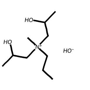 CCC[N+](C)(CC(C)O)CC(C)O.[OH-]